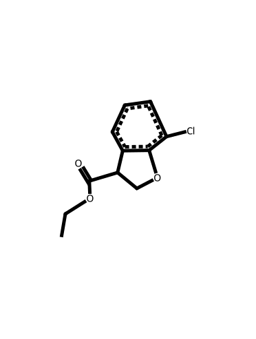 CCOC(=O)C1COc2c(Cl)cccc21